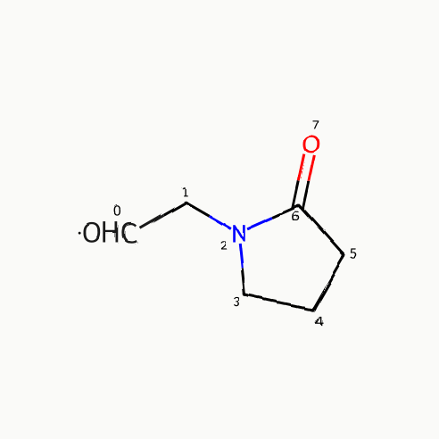 O=[C]CN1CCCC1=O